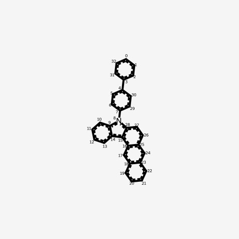 c1ccc(-c2ccc(-n3c4ccccc4c4c5cc6ccccc6cc5ccc43)cc2)cc1